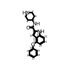 O=C(NC1CCNCC1)c1cc2c(Oc3ccccc3)cccc2[nH]1